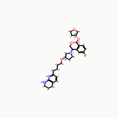 OCC(c1cc(F)ccc1CO[C@@H]1CCOC1)N1CC[C@@H](OCCCCc2ccc3c(n2)NCCC3)C1